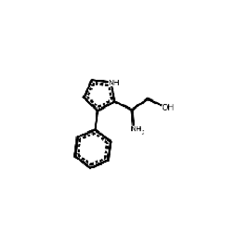 NC(CO)c1[nH]ccc1-c1ccccc1